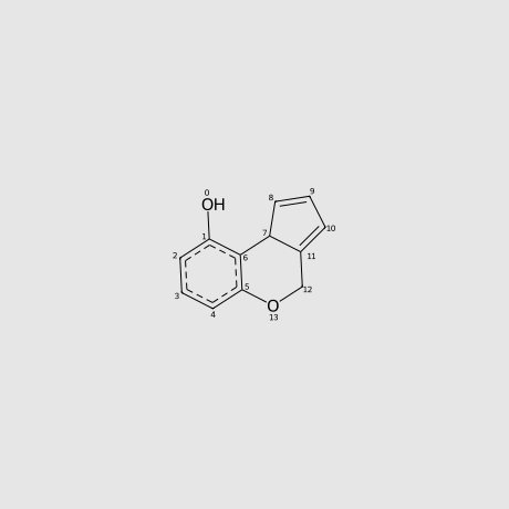 Oc1cccc2c1C1C=CC=C1CO2